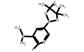 CN(C)c1cc(B2OC(C)(C)C(C)(C)O2)cnc1F